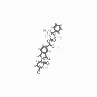 CC(OC(=O)NC(C)(C)c1ccccc1)c1ccc2c(c1)C(=O)N(C1CCC(=O)NC1=O)C2